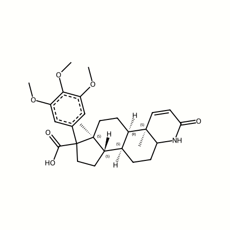 COc1cc(C2(C(=O)O)CC[C@H]3[C@@H]4CCC5NC(=O)C=C[C@]5(C)[C@@H]4CC[C@@]32C)cc(OC)c1OC